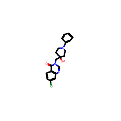 O=c1c2ccc(Cl)cc2ncn1CC1(O)CCN(c2ccccc2)CC1